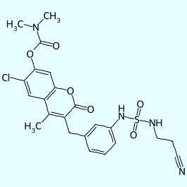 Cc1c(Cc2cccc(NS(=O)(=O)NCCC#N)c2)c(=O)oc2cc(OC(=O)N(C)C)c(Cl)cc12